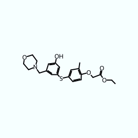 CCOC(=O)COc1ccc(Sc2cc(O)cc(CN3CCOCC3)c2)cc1C